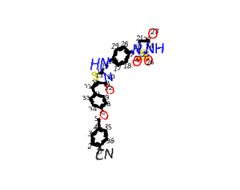 N#Cc1ccc(COc2ccc(C=C3SC(Nc4ccc(N5CC(=O)NS5(=O)=O)cc4)=NC3=O)cc2)cc1